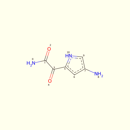 NC(=O)C(=O)c1cc(N)c[nH]1